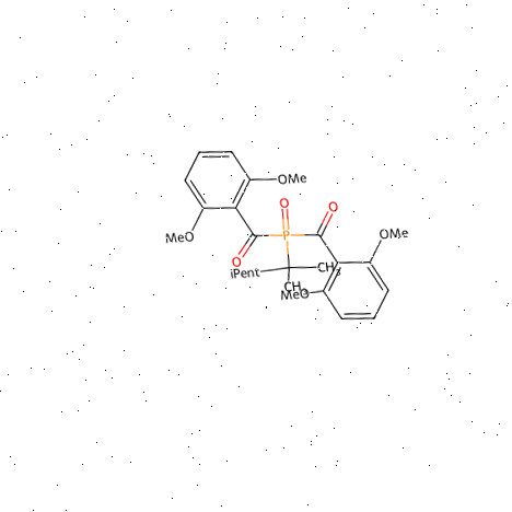 CCCC(C)C(C)(C)P(=O)(C(=O)c1c(OC)cccc1OC)C(=O)c1c(OC)cccc1OC